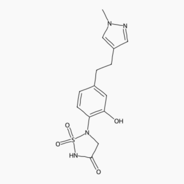 Cn1cc(CCc2ccc(N3CC(=O)NS3(=O)=O)c(O)c2)cn1